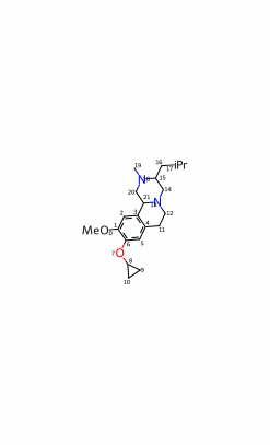 COc1cc2c(cc1OC1CC1)CCN1CC(CC(C)C)N(C)CC21